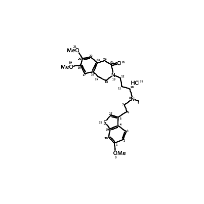 COc1ccc2c(CCN(C)CCCN3CCc4cc(OC)c(OC)cc4CC3=O)csc2c1.Cl